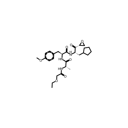 CCOCC(=O)N[C@@H](C)C(=O)N[C@@H](Cc1ccc(OC)cc1)C(=O)N[C@@H](CC1CCCC1)C(=O)[C@H]1CO1